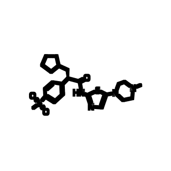 CN1CCN(c2cnc(NC(=O)[C@H](CC3CCCC3)c3ccc(S(C)(=O)=O)cc3)s2)CC1